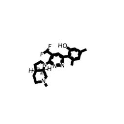 Cc1cc(C)c(-c2cc(C(F)F)c(N3CC[C@@H]4CCN(C)C[C@@H]43)nn2)c(O)c1